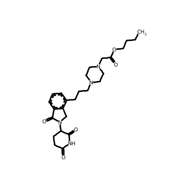 CCCCOC(=O)CN1CCN(CCCc2cccc3c2CN(C2CCC(=O)NC2=O)C3=O)CC1